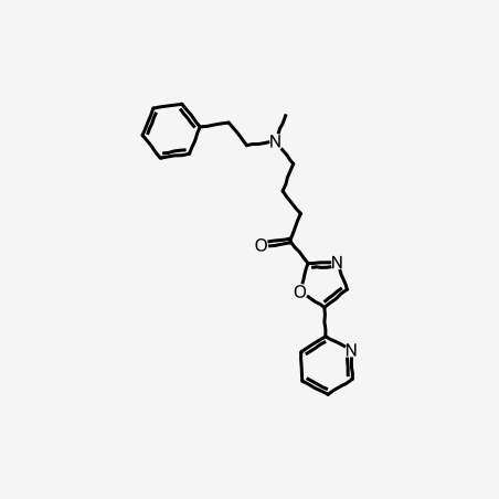 CN(CCCC(=O)c1ncc(-c2ccccn2)o1)CCc1ccccc1